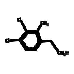 Cc1c(CC(=O)O)ccc(Cl)c1Cl